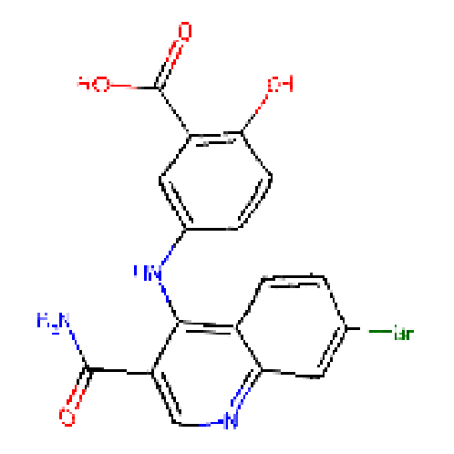 NC(=O)c1cnc2cc(Br)ccc2c1Nc1ccc(O)c(C(=O)O)c1